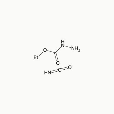 CCOC(=O)NN.N=C=O